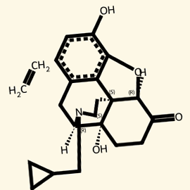 C=C.O=C1CC[C@@]2(O)[C@H]3Cc4ccc(O)c5c4[C@@]2(CCN3CC2CC2)[C@H]1O5